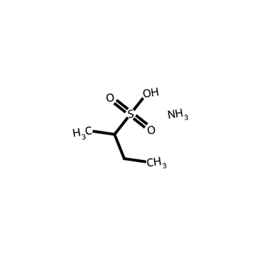 CCC(C)S(=O)(=O)O.N